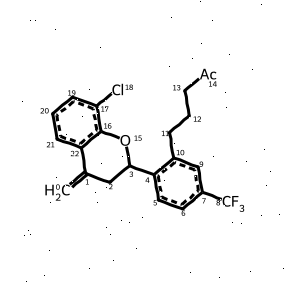 C=C1CC(c2ccc(C(F)(F)F)cc2CCCC(C)=O)Oc2c(Cl)cccc21